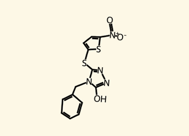 O=[N+]([O-])c1ccc(Sc2nnc(O)n2Cc2ccccc2)s1